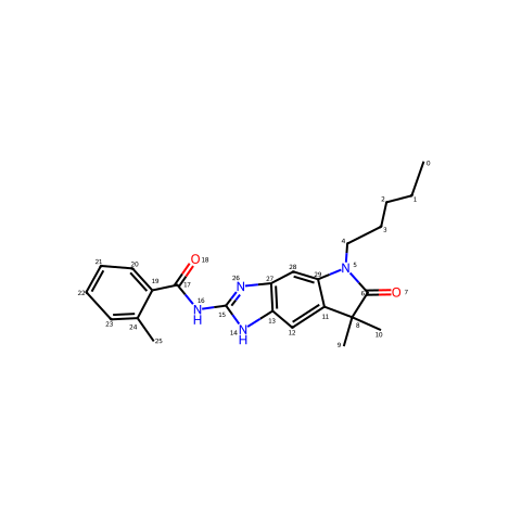 CCCCCN1C(=O)C(C)(C)c2cc3[nH]c(NC(=O)c4ccccc4C)nc3cc21